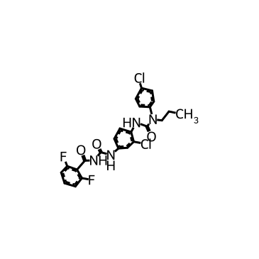 CCCN(C(=O)Nc1ccc(NC(=O)NC(=O)c2c(F)cccc2F)cc1Cl)c1ccc(Cl)cc1